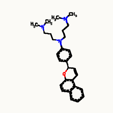 CN(C)CCCN(CCCN(C)C)c1ccc(C2C=Cc3c(ccc4ccccc34)O2)cc1